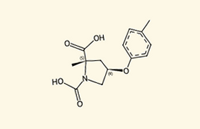 Cc1ccc(O[C@H]2CN(C(=O)O)[C@](C)(C(=O)O)C2)cc1